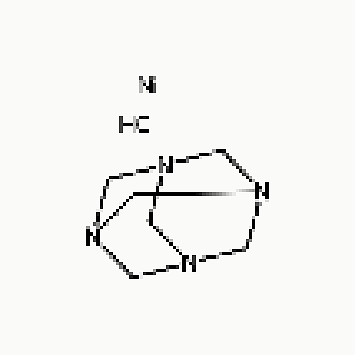 C1N2CN3CN1CN(C2)C3.Cl.[Ni]